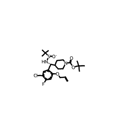 C=CCOc1cc(F)c(Cl)cc1[C@H](N[S+]([O-])C(C)(C)C)C1CCN(C(=O)OC(C)(C)C)CC1